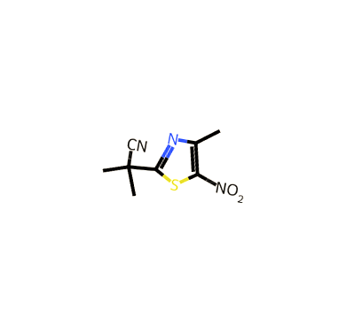 Cc1nc(C(C)(C)C#N)sc1[N+](=O)[O-]